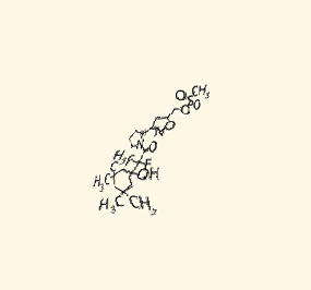 CC1(C)CC(C)(C)CC(O)(C(F)(F)C(=O)N2CCC[C@H]2c2cc(COS(C)(=O)=O)on2)C1